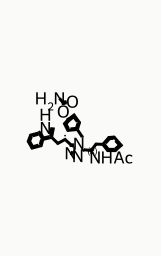 CC(=O)N[C@H](Cc1ccccc1)c1nnc([CH]Cc2c[nH]c3ccccc23)n1Cc1ccc(OC(N)=O)cc1